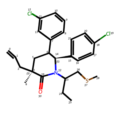 C=CC[C@@]1(C)CC(c2cccc(Cl)c2)[C@@H](c2ccc(Cl)cc2)N(C(CC)CSC)C1=O